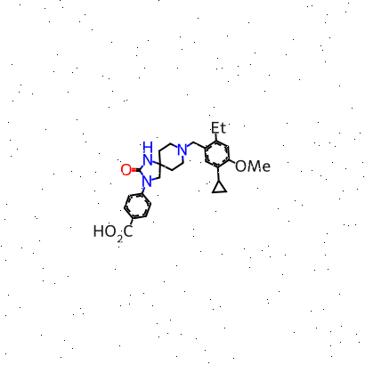 CCc1cc(OC)c(C2CC2)cc1CN1CCC2(CC1)CN(c1ccc(C(=O)O)cc1)C(=O)N2